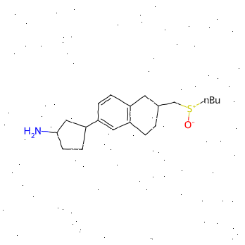 CCCC[S+]([O-])CC1CCc2cc(C3CCC(N)C3)ccc2C1